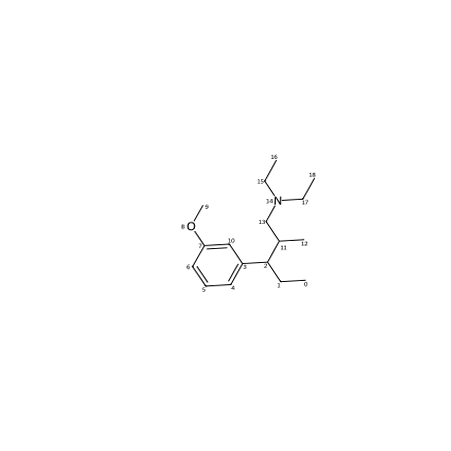 CCC(c1cccc(OC)c1)C(C)CN(CC)CC